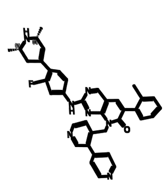 Cc1ccccc1-c1cc2cnc(Nc3ccc(C4=C[C@@H](C)N[C@@H](C)C4)c(F)c3)nc2n(Cc2ccncc2-c2ccncc2)c1=O